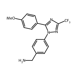 COc1ccc(-c2nc(C(F)(F)F)nn2-c2ccc(CN)cc2)cc1